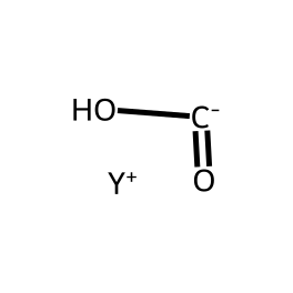 O=[C-]O.[Y+]